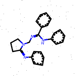 c1ccc(N=C2CCCN2CN=C(Nc2ccccc2)c2ccccc2)cc1